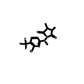 CC1C(=O)N(N(C)c2ccc(C(F)(F)F)c(Cl)n2)C(=O)C1C